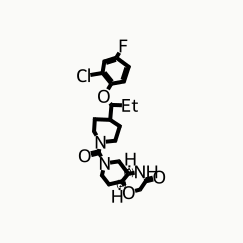 CCC(Oc1ccc(F)cc1Cl)C1CCN(C(=O)N2CC[C@@H]3OCC(=O)N[C@@H]3C2)CC1